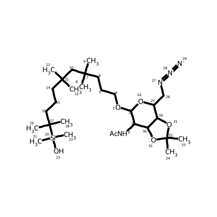 CC(=O)NC1C(OCCCC(C)(C)CC(C)(C)CCCC(C)(C)[Si](C)(C)O)OC(CN=[N+]=[N-])C2OC(C)(C)OC12